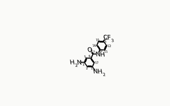 Nc1cc(N)cc(C(=O)Nc2ccc(C(F)(F)F)cc2)c1